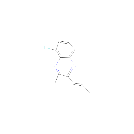 C/C=C/c1nc2cccc(F)c2nc1C